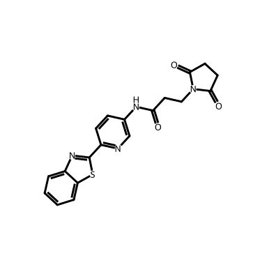 O=C(CCN1C(=O)CCC1=O)Nc1ccc(-c2nc3ccccc3s2)nc1